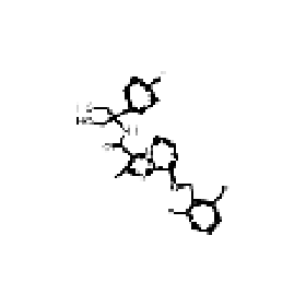 Cc1nc2c(OCc3c(F)cccc3F)cccn2c1C(=O)NC(CO)(CO)c1ccc(F)cc1